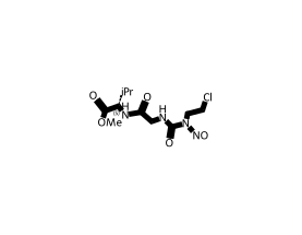 COC(=O)[C@@H](NC(=O)CNC(=O)N(CCCl)N=O)C(C)C